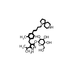 Cc1cc(/C=C/CCN2CCCC23CCNCC3)ccc1Cc1c(O[C@H]2O[C@H](CO)[C@@H](O)[C@H](O)[C@H]2O)n[nH]c1C(C)C